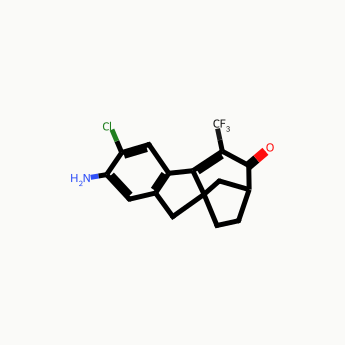 Nc1cc2c(cc1Cl)C1=C(C(F)(F)F)C(=O)C3CCC1(C2)C3